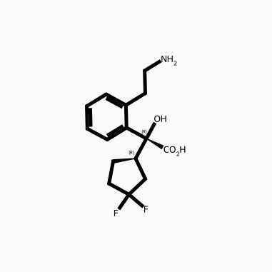 NCCc1ccccc1[C@@](O)(C(=O)O)[C@@H]1CCC(F)(F)C1